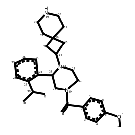 C=C(c1ccc(OC)cc1)N1CCN(C2CC3(CCNCC3)C2)C(c2ccccc2C(C)C)C1